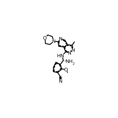 COc1c(C#N)cccc1[C@@H](N)Nc1nnc(C)c2cnc(N3CCOCC3)cc12